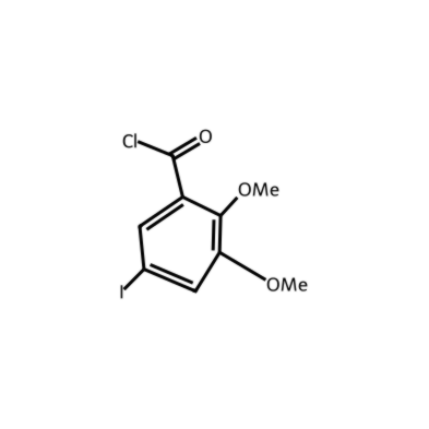 COc1cc(I)cc(C(=O)Cl)c1OC